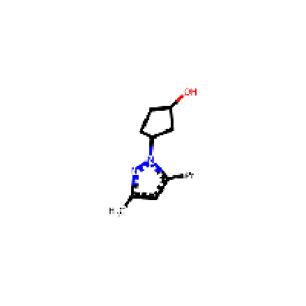 Cc1cc(C(C)C)n(C2CCC(O)C2)n1